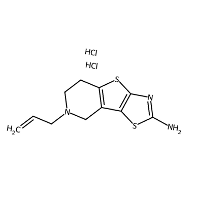 C=CCN1CCc2sc3nc(N)sc3c2C1.Cl.Cl